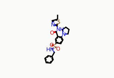 Cc1cnc(NC(=O)c2cc(S(=O)(=O)NCc3ccccc3)ccc2N2CCCC2)s1